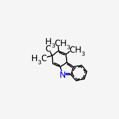 CC1=C(C)C(C)(C)C=C2N=c3ccccc3=C21